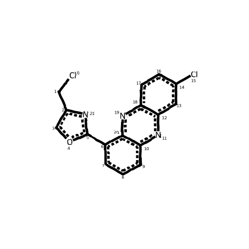 ClCc1coc(-c2cccc3nc4cc(Cl)ccc4nc23)n1